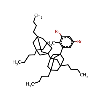 CCCCC12CC3CC(CCCC)(C1)CC(C14CC5(CCCC)CC(CCCC)(CC(c6cc(Br)cc(Br)c6C)(C5)C1)C4)(C3)C2